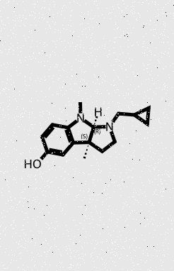 CN1c2ccc(O)cc2[C@]2(C)CCN(CC3CC3)[C@H]12